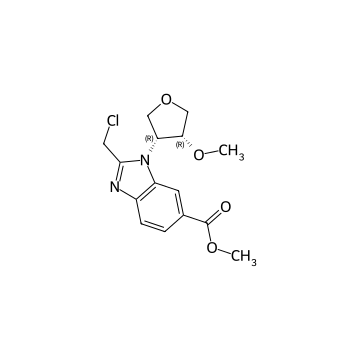 COC(=O)c1ccc2nc(CCl)n([C@@H]3COC[C@@H]3OC)c2c1